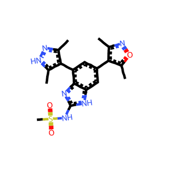 Cc1n[nH]c(C)c1-c1cc(-c2c(C)noc2C)cc2[nH]c(NS(C)(=O)=O)nc12